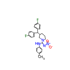 Cc1ccc(NC(=N[N+](=O)[O-])N2CCCC(C(c3ccc(F)cc3)c3ccc(F)cc3)C2)cc1